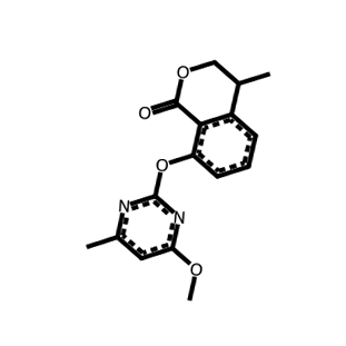 COc1cc(C)nc(Oc2cccc3c2C(=O)OCC3C)n1